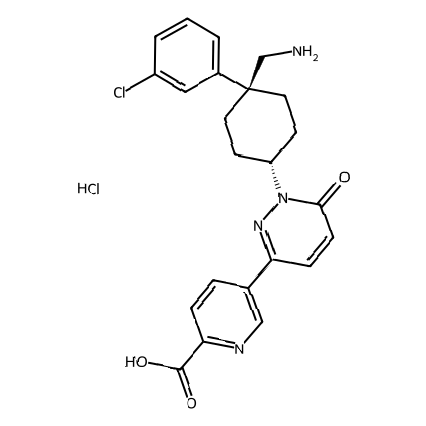 Cl.NC[C@]1(c2cccc(Cl)c2)CC[C@@H](n2nc(-c3ccc(C(=O)O)nc3)ccc2=O)CC1